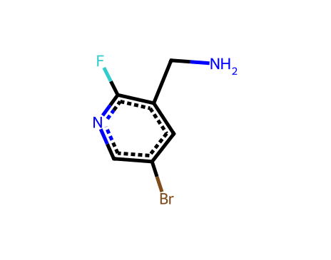 NCc1cc(Br)cnc1F